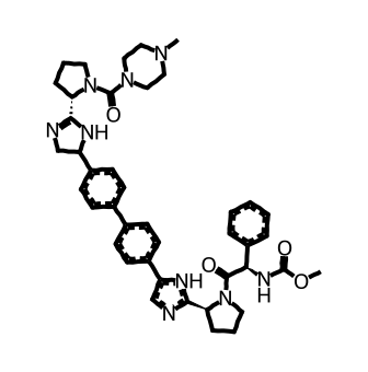 COC(=O)N[C@@H](C(=O)N1CCC[C@H]1c1ncc(-c2ccc(-c3ccc(C4CN=C([C@@H]5CCCN5C(=O)N5CCN(C)CC5)N4)cc3)cc2)[nH]1)c1ccccc1